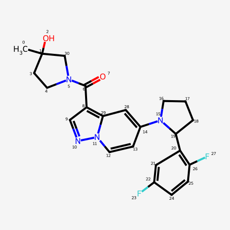 CC1(O)CCN(C(=O)c2cnn3ccc(N4CCCC4c4cc(F)ccc4F)cc23)C1